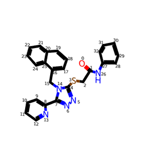 O=C(CSc1nnc(-c2ccccn2)n1Cc1cccc2ccccc12)Nc1ccccc1